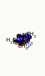 CCc1cccc(CC)c1NC(=O)C[C@H](N)[C@H](Cc1ccccc1)NC(=O)C(NC(=O)[C@H](CC(C)C)NC(=O)CC(C)C)C(C)C